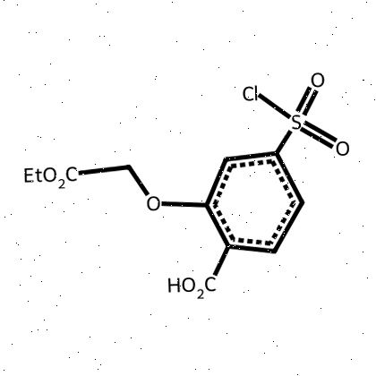 CCOC(=O)COc1cc(S(=O)(=O)Cl)ccc1C(=O)O